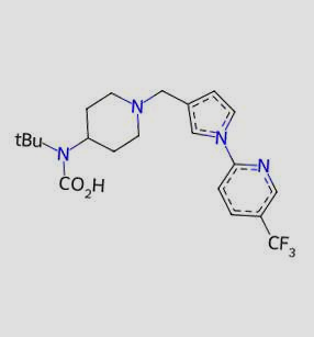 CC(C)(C)N(C(=O)O)C1CCN(Cc2ccn(-c3ccc(C(F)(F)F)cn3)c2)CC1